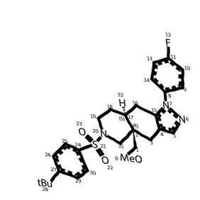 COC[C@]12Cc3cnn(-c4ccc(F)cc4)c3C[C@@H]1CCN(S(=O)(=O)c1ccc(C(C)(C)C)cc1)C2